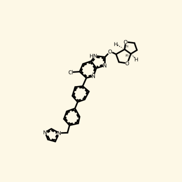 Clc1cc2[nH]c(OC3CO[C@@H]4CCO[C@H]34)nc2nc1-c1ccc(-c2ccc(Cn3ccnc3)cc2)cc1